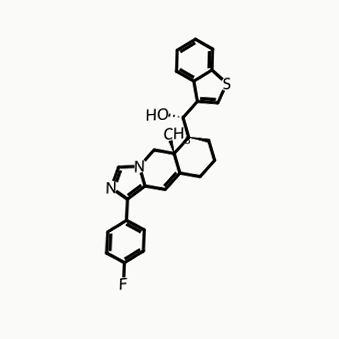 C[C@]12Cn3cnc(-c4ccc(F)cc4)c3C=C1CCC[C@@H]2[C@H](O)c1csc2ccccc12